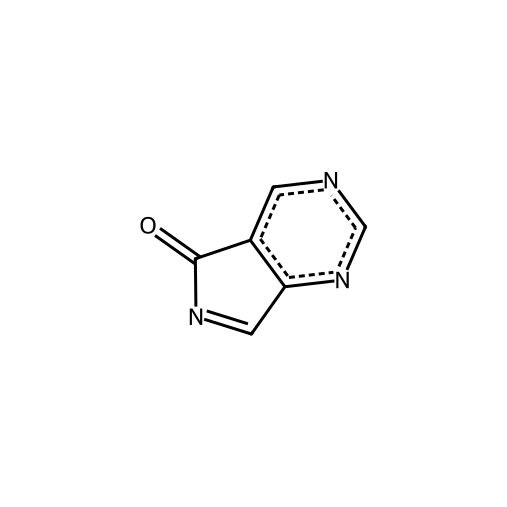 O=C1N=Cc2ncncc21